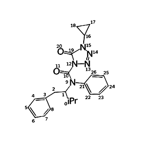 CC(C)C(Cc1ccccc1)N(C(=O)n1nnn(C2CC2)c1=O)c1ccccc1